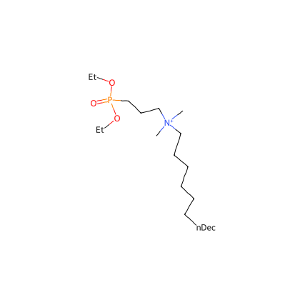 CCCCCCCCCCCCCCCC[N+](C)(C)CCCP(=O)(OCC)OCC